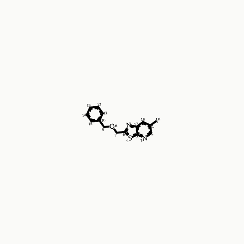 Ic1cnc2sc(COCc3ccccc3)nc2c1